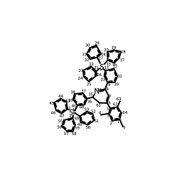 Cc1cc(C)c(C2=CC(c3cccc(S(c4ccccc4)(c4ccccc4)c4ccccc4)c3)=NC(c3cccc([Si](c4ccccc4)(c4ccccc4)c4ccccc4)c3)C2)c(C)c1